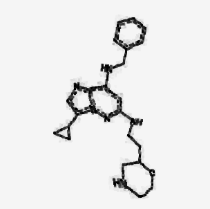 c1ccc(CNc2cc(NCCC3CNCCO3)nn3c(C4CC4)cnc23)cc1